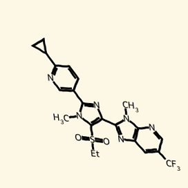 CCS(=O)(=O)c1c(-c2nc3cc(C(F)(F)F)cnc3n2C)nc(-c2ccc(C3CC3)nc2)n1C